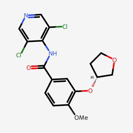 COc1ccc(C(=O)Nc2c(Cl)cncc2Cl)cc1O[C@@H]1CCOC1